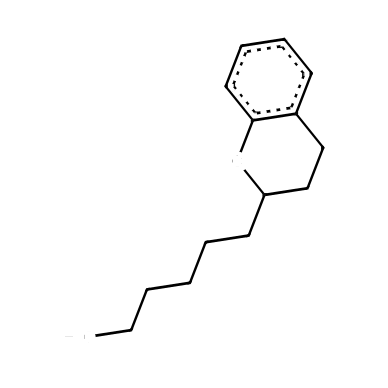 CCCCCCC1CCc2c[c]ccc2O1